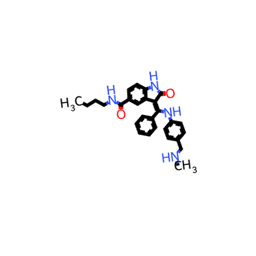 CCCCNC(=O)c1ccc2c(c1)/C(=C(/Nc1ccc(CNC)cc1)c1ccccc1)C(=O)N2